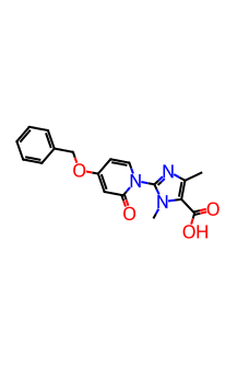 Cc1nc(-n2ccc(OCc3ccccc3)cc2=O)n(C)c1C(=O)O